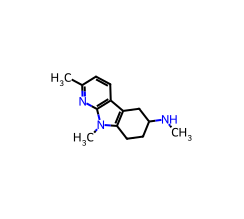 CNC1CCc2c(c3ccc(C)nc3n2C)C1